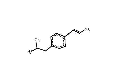 C/C=C/c1ccc(CC(C)C)cc1